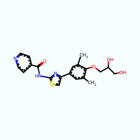 Cc1cc(-c2csc(NC(=O)c3ccncc3)n2)cc(C)c1OCC(O)CO